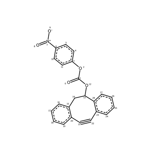 O=C(Oc1ccc([N+](=O)[O-])cc1)OC1Cc2ccccc2C#Cc2ccccc21